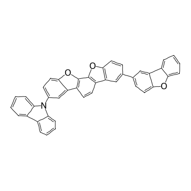 c1ccc2c(c1)oc1ccc(-c3ccc4oc5c(ccc6c7cc(-n8c9ccccc9c9ccccc98)ccc7oc65)c4c3)cc12